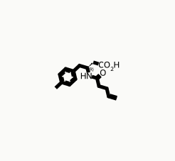 C=CCCC(=O)N[C@@H](CC(=O)O)Cc1ccc(C)cc1